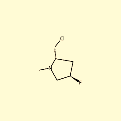 CN1C[C@H](F)C[C@H]1CCl